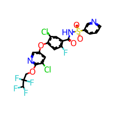 O=C(NS(=O)(=O)c1cccnc1)c1cc(Cl)c(Oc2cnc(OCC(F)(F)C(F)F)c(Cl)c2)cc1F